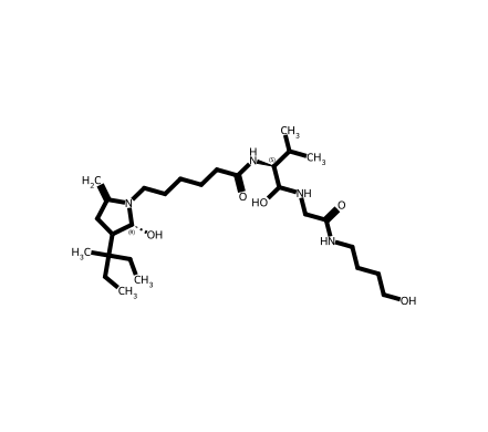 C=C1CC(C(C)(CC)CC)[C@@H](O)N1CCCCCC(=O)N[C@@H](C(C)C)C(O)NCC(=O)NCCCCO